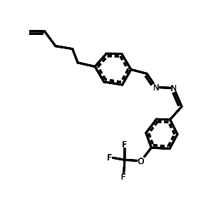 C=CCCCc1ccc(/C=N/N=C\c2ccc(OC(F)(F)F)cc2)cc1